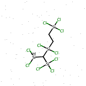 Cl[SiH](Cl)C([Si](Cl)(Cl)Cl)[Si](Cl)(Cl)CC[Si](Cl)(Cl)Cl